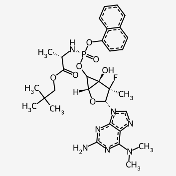 C[C@H](N[P@@](=O)(Oc1cccc2ccccc12)OC1[C@H]2O[C@@H](n3cnc4c(N(C)C)nc(N)nc43)[C@](C)(F)[C@@]12O)C(=O)OCC(C)(C)C